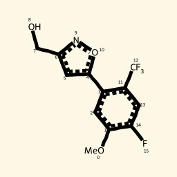 COc1cc(-c2cc(CO)no2)c(C(F)(F)F)cc1F